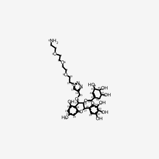 NCCOCCOCCOCCn1cc(COC2c3c(O)cc(O)cc3OC(c3cc(O)c(O)c(O)c3)C2OC(=O)C2=CC(O)C(O)C(O)C2)nn1